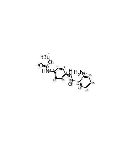 CC(C)(C)OC(=O)Nc1ccc(NC(=O)c2ccccc2N)cc1